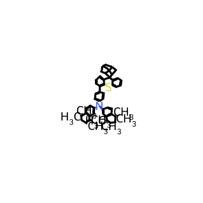 CC1(C)CCC(C)(C)c2cc(N(c3ccc(-c4cccc5c4Sc4ccccc4C54C5CC6CC7CC4C75C6)cc3)c3ccc4c(c3)C(C)(C)CCC4(C)C)ccc21